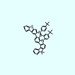 CC(C)(C)c1ccc(N2B3c4cc(C(C)(C)C)ccc4-n4c5ccc6c(c5c5ccc(c3c54)-c3cc4c(cc32)sc2ccccc24)-c2ccccc2C6(C)C)cc1